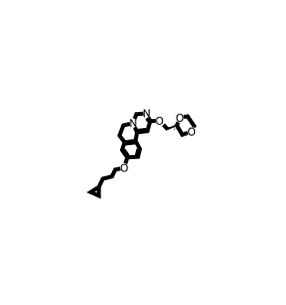 C1=C2c3ccc(OCCCC4CC4)cc3CCN2CN=C1OC[C@@H]1COCCO1